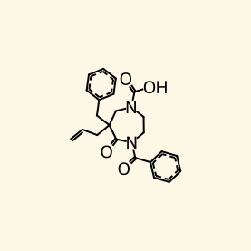 C=CCC1(Cc2ccccc2)CN(C(=O)O)CCN(C(=O)c2ccccc2)C1=O